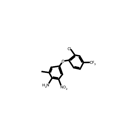 Cc1cc(Oc2ccc(C(F)(F)F)cc2Cl)cc([N+](=O)[O-])c1N